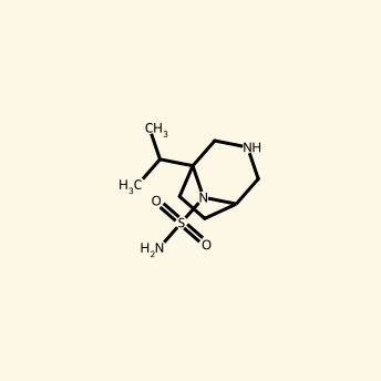 CC(C)C12CCC(CNC1)N2S(N)(=O)=O